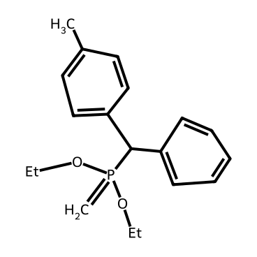 C=P(OCC)(OCC)C(c1ccccc1)c1ccc(C)cc1